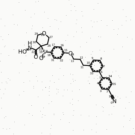 N#Cc1ccc(-c2cccc(CCCOc3ccc([S+]([O-])C4(C(=O)NO)CCOCC4)cc3)c2)cc1